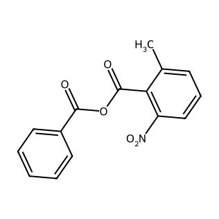 Cc1cccc([N+](=O)[O-])c1C(=O)OC(=O)c1ccccc1